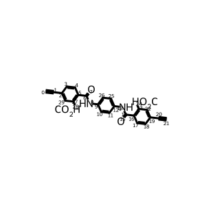 C#Cc1ccc(C(=O)Nc2ccc(NC(=O)c3ccc(C#C)cc3C(=O)O)cc2)c(C(=O)O)c1